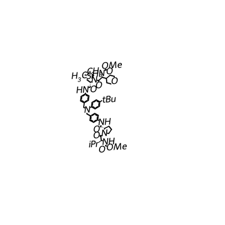 COC(=O)N[C@H](C(=O)N1CCC[C@H]1C(=O)Nc1ccc(CN(Cc2ccc(NC(=O)[C@@H]3C[Si](C)(C)CN3C(=O)[C@@H](NC(=O)OC)C3CCOCC3)cc2)c2ccc(C(C)(C)C)cc2)cc1)C(C)C